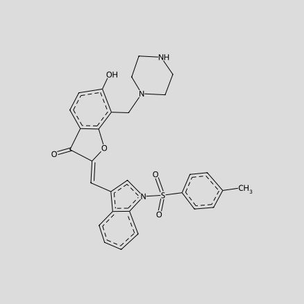 Cc1ccc(S(=O)(=O)n2cc(/C=C3\Oc4c(ccc(O)c4CN4CCNCC4)C3=O)c3ccccc32)cc1